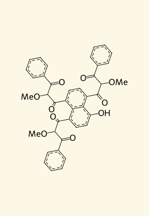 COC(C(=O)c1ccccc1)C(=O)c1ccc(C(=O)C(OC)C(=O)c2ccccc2)c2c(C(=O)C(OC)C(=O)c3ccccc3)ccc(O)c12